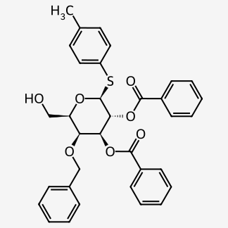 Cc1ccc(S[C@@H]2O[C@H](CO)[C@H](OCc3ccccc3)[C@H](OC(=O)c3ccccc3)[C@H]2OC(=O)c2ccccc2)cc1